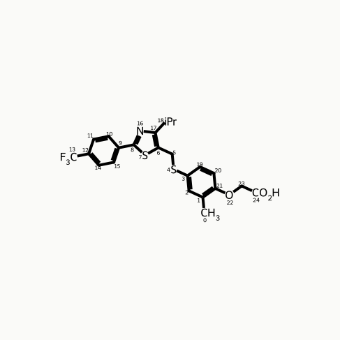 Cc1cc(SCc2sc(-c3ccc(C(F)(F)F)cc3)nc2C(C)C)ccc1OCC(=O)O